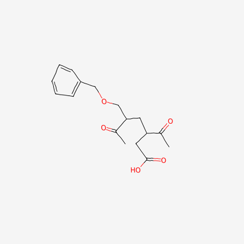 CC(=O)C(COCc1ccccc1)CC(CC(=O)O)C(C)=O